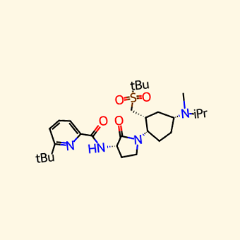 CC(C)N(C)[C@@H]1CC[C@H](N2CC[C@H](NC(=O)c3cccc(C(C)(C)C)n3)C2=O)[C@H](CS(=O)(=O)C(C)(C)C)C1